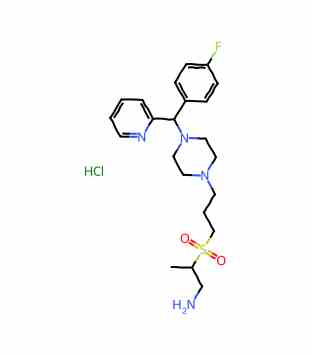 CC(CN)S(=O)(=O)CCCN1CCN(C(c2ccc(F)cc2)c2ccccn2)CC1.Cl